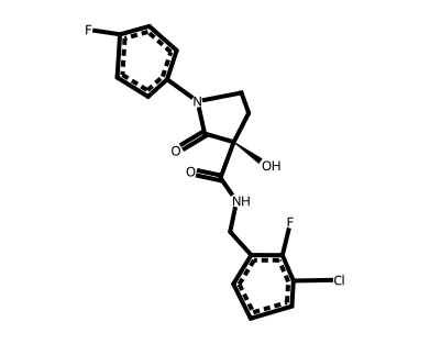 O=C(NCc1cccc(Cl)c1F)[C@@]1(O)CCN(c2ccc(F)cc2)C1=O